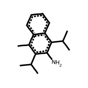 Cc1c(C(C)C)c(N)c(C(C)C)c2ccccc12